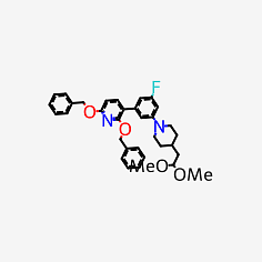 COC(CC1CCN(c2cc(F)cc(-c3ccc(OCc4ccccc4)nc3OCc3ccccc3)c2)CC1)OC